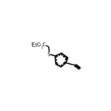 C#Cc1ccc(SCC(=O)OCC)cc1